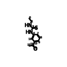 CCNC(=S)Nc1cccc(C(C)=O)c1